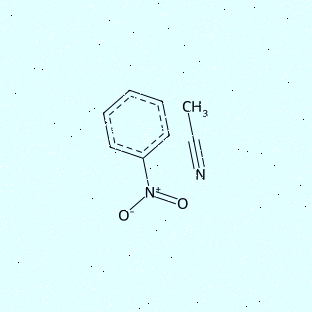 CC#N.O=[N+]([O-])c1ccccc1